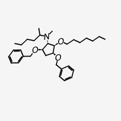 CCCCCCCO[C@@H]1[C@@H](N(C)C(C)CCCC)[C@H](OCc2ccccc2)C[C@@H]1OCc1ccccc1